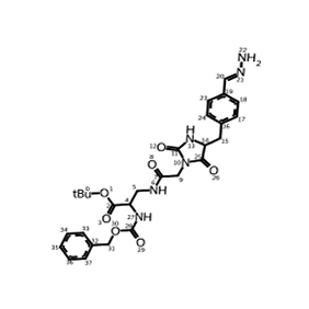 CC(C)(C)OC(=O)C(CNC(=O)CN1C(=O)NC(Cc2ccc(C=NN)cc2)C1=O)NC(=O)OCc1ccccc1